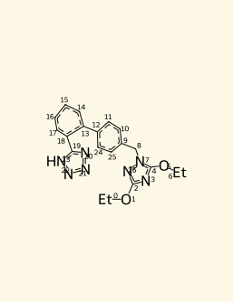 CCOc1nc(OCC)n(Cc2ccc(-c3ccccc3-c3nnn[nH]3)cc2)n1